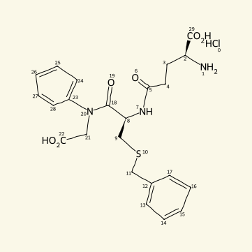 Cl.N[C@@H](CCC(=O)N[C@@H](CSCc1ccccc1)C(=O)N(CC(=O)O)c1ccccc1)C(=O)O